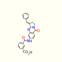 O=C(O)c1cccc(C(=O)Nc2ccc3c(=O)n4c(nc3c2)C(=Cc2ccccc2)CC4)c1